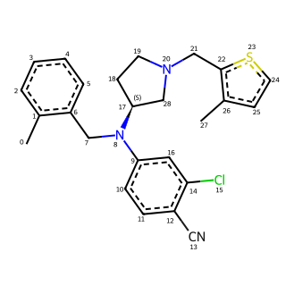 Cc1ccccc1CN(c1ccc(C#N)c(Cl)c1)[C@H]1CCN(Cc2sccc2C)C1